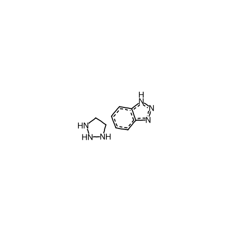 C1CNNN1.c1ccc2[nH]nnc2c1